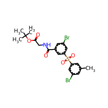 Cc1cc(Br)cc(S(=O)(=O)c2cc(Br)cc(C(=O)NCC(=O)OC(C)(C)C)c2)c1